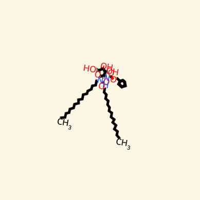 CCCCCCCCCCCCCCCCCCOC(=O)N(CCCCCCCCCCCCCCCCCC)[C@@H]1O[C@H](CO)[C@@H](O)[C@H](O)[C@@H]1NC(=O)OCc1ccccc1